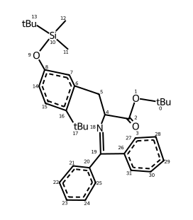 CC(C)(C)OC(=O)C(Cc1cc(O[Si](C)(C)C(C)(C)C)ccc1C(C)(C)C)N=C(c1ccccc1)c1ccccc1